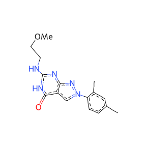 COCCNc1nc2nn(-c3ccc(C)cc3C)cc2c(=O)[nH]1